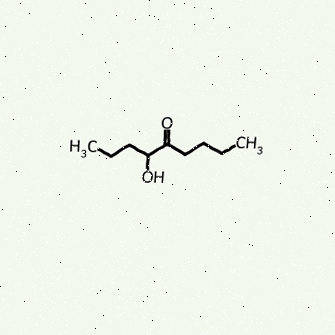 CCCCC(=O)C(O)CCC